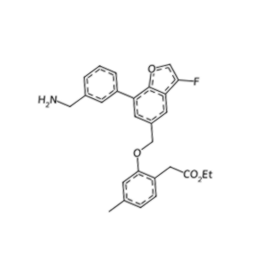 CCOC(=O)Cc1ccc(C)cc1OCc1cc(-c2cccc(CN)c2)c2occ(F)c2c1